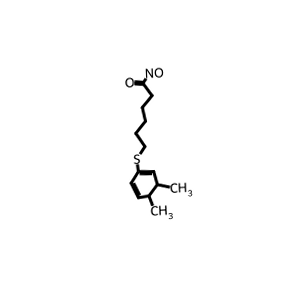 CC1C=CC(SCCCCCC(=O)N=O)=CC1C